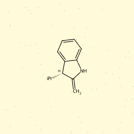 C=C1Nc2ccccc2[C@H]1C(C)C